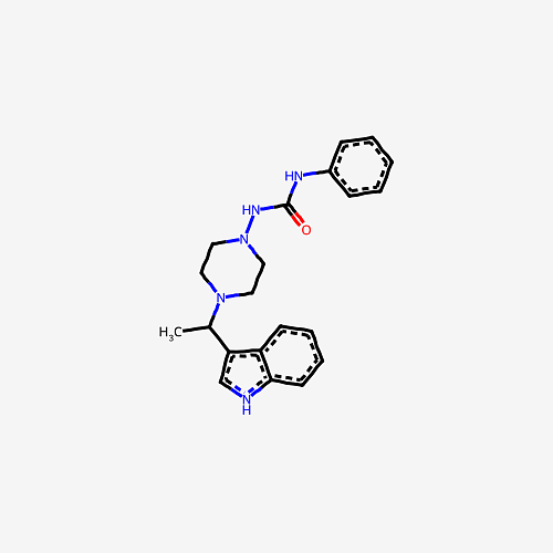 CC(c1c[nH]c2ccccc12)N1CCN(NC(=O)Nc2ccccc2)CC1